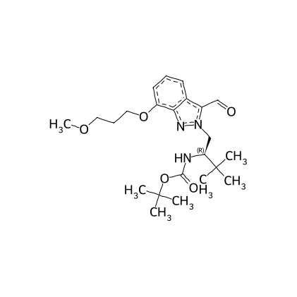 COCCCOc1cccc2c(C=O)n(C[C@H](NC(=O)OC(C)(C)C)C(C)(C)C)nc12